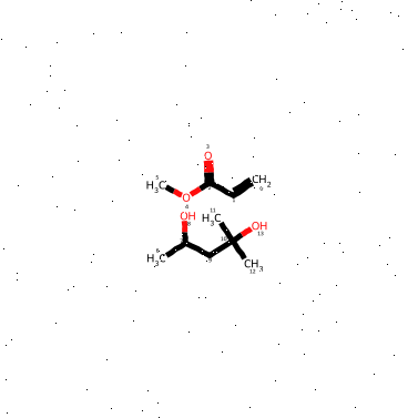 C=CC(=O)OC.CC(O)CC(C)(C)O